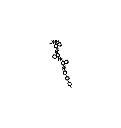 CCC(C)Nc1ccc(/N=N/c2ccc(/N=N/c3ccc(/N=N/c4ccc(-c5ccc(C6CCC(C)CC6)cc5)cc4)c4ccccc34)c3ccccc23)c2ccccc12